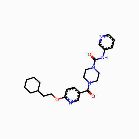 O=C(Nc1cccnc1)N1CCN(C(=O)c2ccc(OCCC3CCCCC3)nc2)CC1